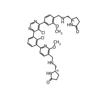 COc1cc(-c2ncnc(-c3cccc(-c4ccc(CNC[C@H]5CCC(=O)N5)c(OC)n4)c3Cl)c2Cl)ccc1CNC[C@H]1CCC(=O)N1